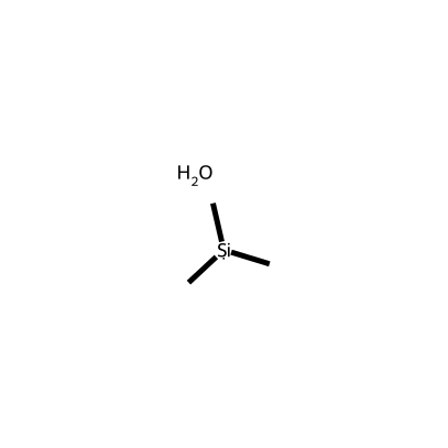 C[Si](C)C.O